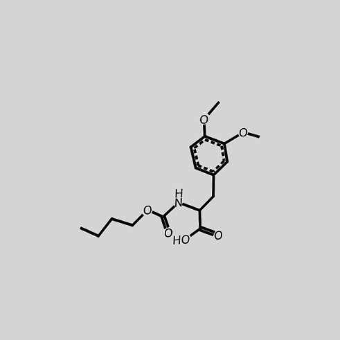 CCCCOC(=O)NC(Cc1ccc(OC)c(OC)c1)C(=O)O